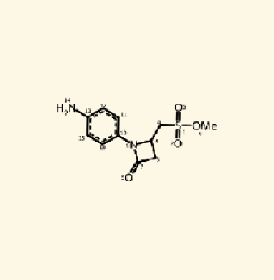 COS(=O)(=O)CC1CC(=O)N1c1ccc(N)cc1